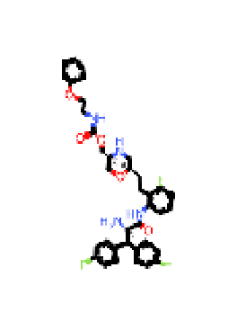 N[C@H](C(=O)Nc1cccc(F)c1CC[C@@H]1CN[C@H](COC(=O)NCCOc2ccccc2)CO1)C(c1ccc(F)cc1)c1ccc(F)cc1